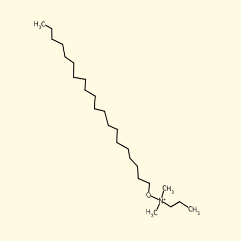 CCCCCCCCCCCCCCCCCCCCO[N+](C)(C)CCC